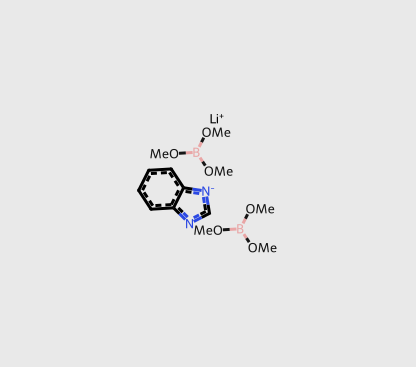 COB(OC)OC.COB(OC)OC.[Li+].c1ccc2[n-]cnc2c1